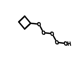 OOOOOC1CCC1